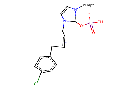 CCCCCCCN1C=CN(C/C=C\Cc2ccc(Cl)cc2)C1OP(=O)(O)O